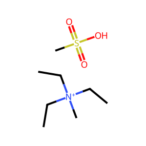 CC[N+](C)(CC)CC.CS(=O)(=O)O